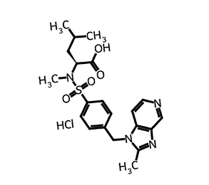 Cc1nc2cnccc2n1Cc1ccc(S(=O)(=O)N(C)[C@@H](CC(C)C)C(=O)O)cc1.Cl